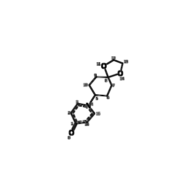 O=c1ccn(C2CCC3(CC2)OCCO3)cc1